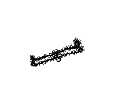 O=C(OCCCCCCCCCc1ccccc1)OCCCCCCCCCc1ccccc1.O=C(OCCCCCCCCc1ccccc1)OCCCCCCCCc1ccccc1